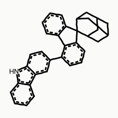 c1ccc2c(c1)-c1c(-c3ccc4[nH]c5ccccc5c4c3)cccc1C21C2CC3CC(C2)CC1C3